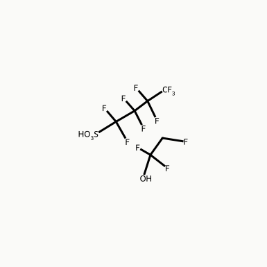 O=S(=O)(O)C(F)(F)C(F)(F)C(F)(F)C(F)(F)F.OC(F)(F)CF